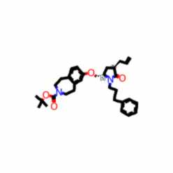 C=CC[C@@H]1C[C@@H](COc2ccc3c(c2)CCN(C(=O)OC(C)(C)C)CC3)N(CCCc2ccccc2)C1=O